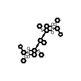 O=C1c2cccc3c(Sc4ccccc4)c(C#Cc4ccc(C#Cc5cc6c7c(cccc7c5Sc5ccccc5)C(=O)N(c5cc(C7=CC=CC7)ccc5Oc5ccccc5)C6=O)c5ccccc45)cc(c23)C(=O)N1c1cc(C2=CC=CC2)ccc1Oc1ccccc1